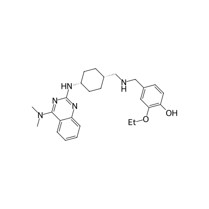 CCOc1cc(CNC[C@H]2CC[C@@H](Nc3nc(N(C)C)c4ccccc4n3)CC2)ccc1O